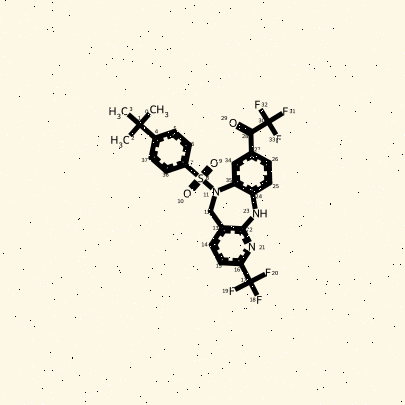 CC(C)(C)c1ccc(S(=O)(=O)N2Cc3ccc(C(F)(F)F)nc3Nc3ccc(C(=O)C(F)(F)F)cc32)cc1